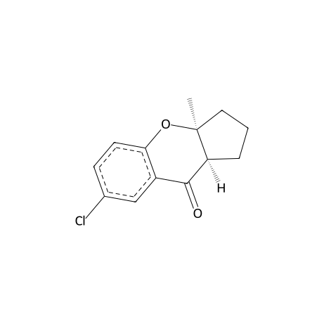 C[C@]12CCC[C@H]1C(=O)c1cc(Cl)ccc1O2